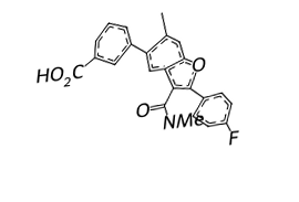 CNC(=O)c1c(-c2ccc(F)cc2)oc2cc(C)c(-c3cccc(C(=O)O)c3)cc12